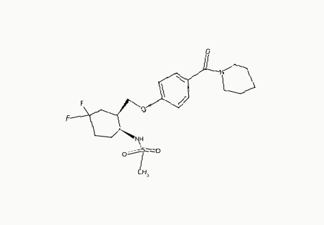 CS(=O)(=O)N[C@H]1CCC(F)(F)C[C@H]1COc1ccc(C(=O)N2CCCCC2)cc1